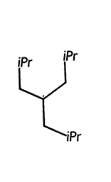 CC(C)C[C](CC(C)C)CC(C)C